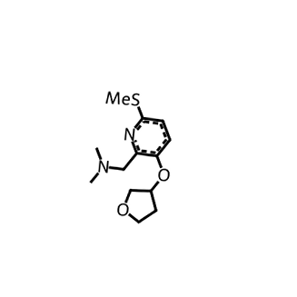 CSc1ccc(OC2CCOC2)c(CN(C)C)n1